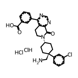 Cl.Cl.NC[C@]1(c2cccc(Cl)c2)CC[C@@H](N2CCc3c(ncnc3-c3cccc(C(=O)O)c3)C2=O)CC1